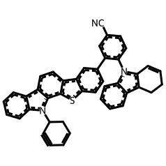 N#Cc1ccc(-n2c3c(c4ccccc42)CCC=C3)c(-c2ccc3sc4c(ccc5c6ccccc6n(C6C#CC=CC6)c54)c3c2)c1